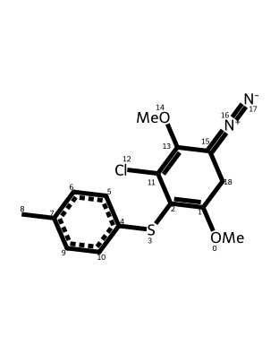 COC1=C(Sc2ccc(C)cc2)C(Cl)=C(OC)C(=[N+]=[N-])C1